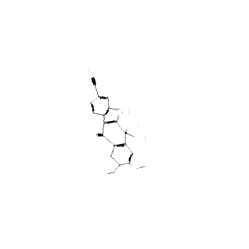 CCC1CC2=C(C=C1OC)C(C)(C)c1[nH]c3cc(C#N)ccc3c1C2=O